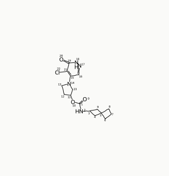 O=C(NC1CC2(CCC2)C1)OC1CCN(c2cn[nH]c(=O)c2Cl)C1